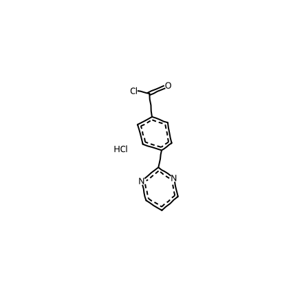 Cl.O=C(Cl)c1ccc(-c2ncccn2)cc1